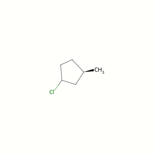 C[C@@H]1CCC(Cl)C1